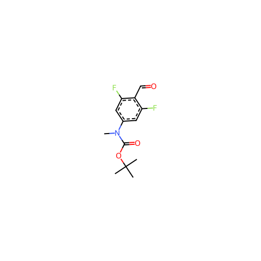 CN(C(=O)OC(C)(C)C)c1cc(F)c(C=O)c(F)c1